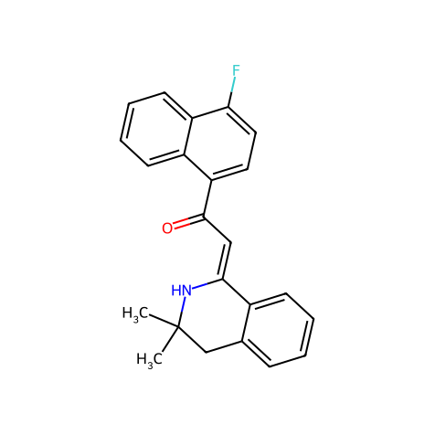 CC1(C)Cc2ccccc2C(=CC(=O)c2ccc(F)c3ccccc23)N1